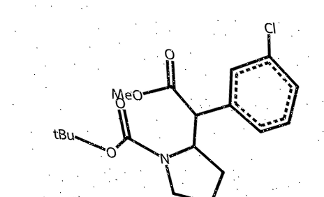 COC(=O)C(c1cccc(Cl)c1)C1CCCN1C(=O)OC(C)(C)C